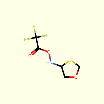 O=C(ONC1COCS1)C(F)(F)F